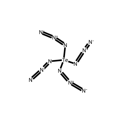 [N-]=[N+]=N[Te](N=[N+]=[N-])(N=[N+]=[N-])N=[N+]=[N-]